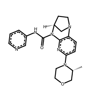 C[C@@H]1COCCN1c1ccc2c(n1)N(C(=O)Nc1cccnc1)[C@H]1CCN2C1